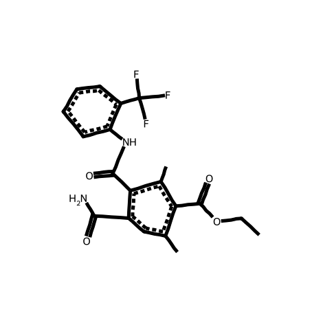 CCOC(=O)c1c(C)cc(C(N)=O)c(C(=O)Nc2ccccc2C(F)(F)F)c1C